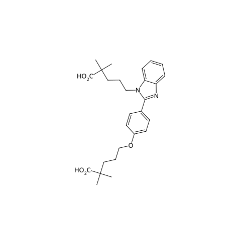 CC(C)(CCCOc1ccc(-c2nc3ccccc3n2CCCC(C)(C)C(=O)O)cc1)C(=O)O